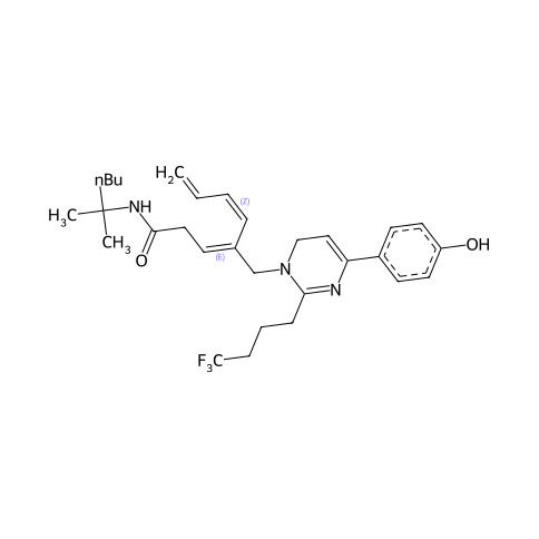 C=C/C=C\C(=C/CC(=O)NC(C)(C)CCCC)CN1CC=C(c2ccc(O)cc2)N=C1CCCC(F)(F)F